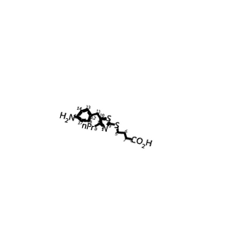 CCCc1nc(SCCCC(=O)O)sc1Cc1ccc(N)cc1